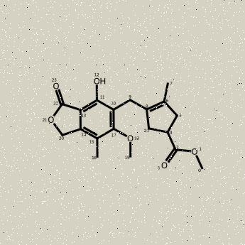 COC(=O)C1CC(C)=C(Cc2c(O)c3c(c(C)c2OC)COC3=O)C1